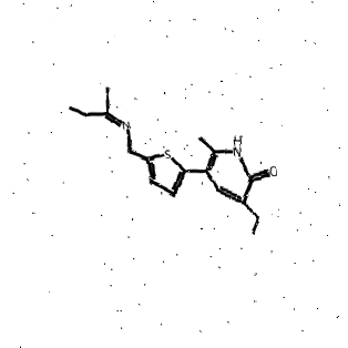 [CH2]C(CC)=NCc1ccc(-c2cc(CC)c(=O)[nH]c2C)s1